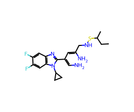 CCC(C)SNC/C(N)=C/C(=C\N)c1nc2cc(F)c(F)cc2n1C1CC1